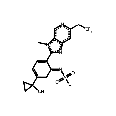 CCS(=O)(=O)N=C1CC(C2(C#N)CC2)=CC=C1c1nc2cc(SC(F)(F)F)ncc2n1C